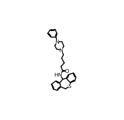 O=C(CCCCN1CCN(c2ccccc2)CC1)NC1c2ccccc2CSc2ccccc21